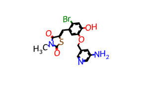 CN1C(=O)S/C(=C\c2cc(OCc3cncc(N)c3)c(O)cc2Br)C1=O